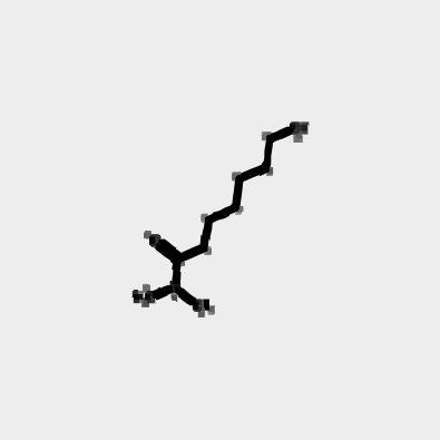 CN(C)C(=O)CCCCCCO